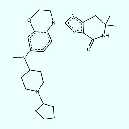 CN(c1ccc2c(c1)OCCN2c1nc2c(s1)C(=O)NC(C)(C)C2)C1CCN(C2CCCC2)CC1